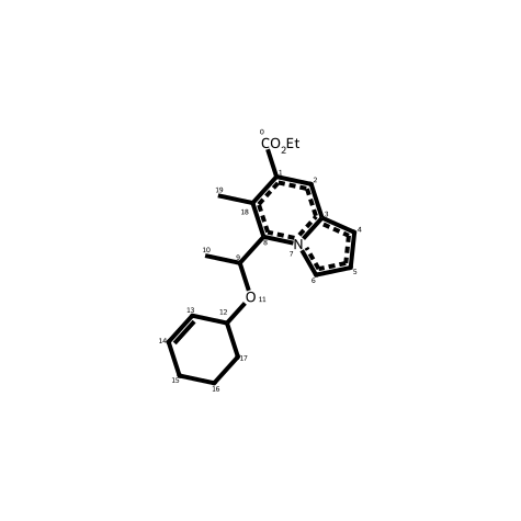 CCOC(=O)c1cc2cccn2c(C(C)OC2C=CCCC2)c1C